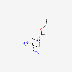 CCOC(C)N1CC(N)(N)C1